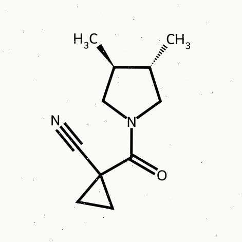 C[C@@H]1CN(C(=O)C2(C#N)CC2)C[C@H]1C